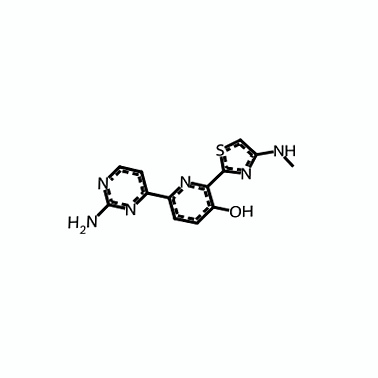 CNc1csc(-c2nc(-c3ccnc(N)n3)ccc2O)n1